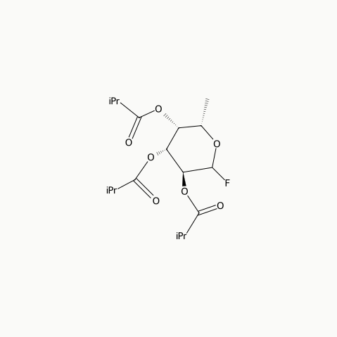 CC(C)C(=O)O[C@@H]1[C@H](OC(=O)C(C)C)[C@H](C)OC(F)[C@H]1OC(=O)C(C)C